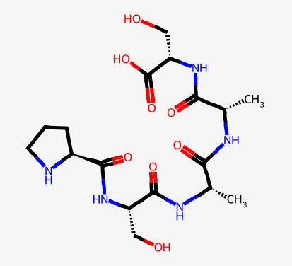 C[C@H](NC(=O)[C@H](C)NC(=O)[C@H](CO)NC(=O)[C@@H]1CCCN1)C(=O)N[C@@H](CO)C(=O)O